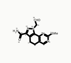 CSc1ncc2c(n1)-c1c(c(C(N)=O)nn1CC=O)CC2